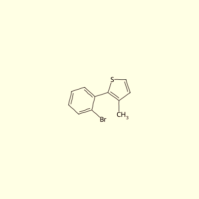 Cc1ccsc1-c1ccccc1Br